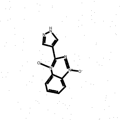 [O-][n+]1nc(-c2cn[nH]c2)[n+]([O-])c2ccccc21